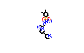 Cc1ccc(S(=O)(=O)NN=Cc2cnc3ccc(-c4cccnc4)cn23)cc1C